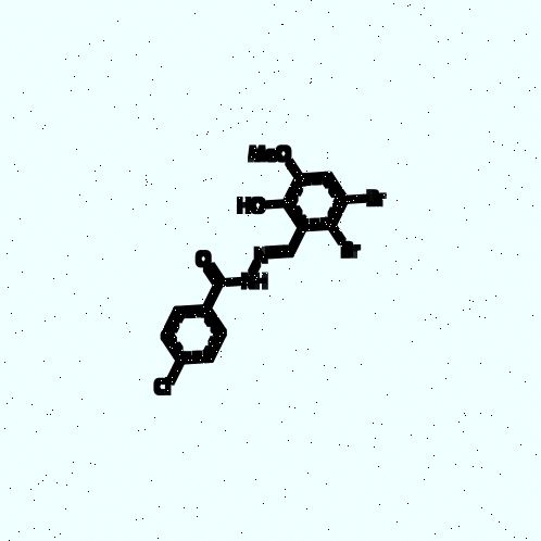 COc1cc(Br)c(Br)c(C=NNC(=O)c2ccc(Cl)cc2)c1O